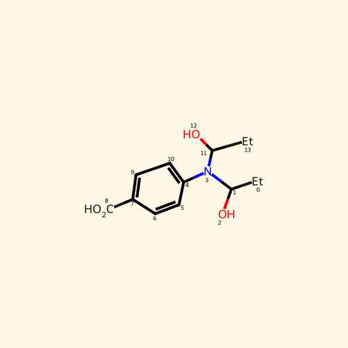 CCC(O)N(c1ccc(C(=O)O)cc1)C(O)CC